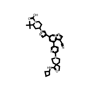 CCC1(C(=O)NC2CCC2)CCN(c2ccc(-c3cc(-c4cnn(C5CCN(C(=O)O)C(C(C)(C)C)C5)c4)cn4ncc(C#N)c34)cn2)CC1